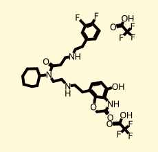 O=C(O)C(F)(F)F.O=C(O)C(F)(F)F.O=C1COc2c(CCNCCN(C(=O)CCNCCc3ccc(F)c(F)c3)C3CCCCCC3)ccc(O)c2N1